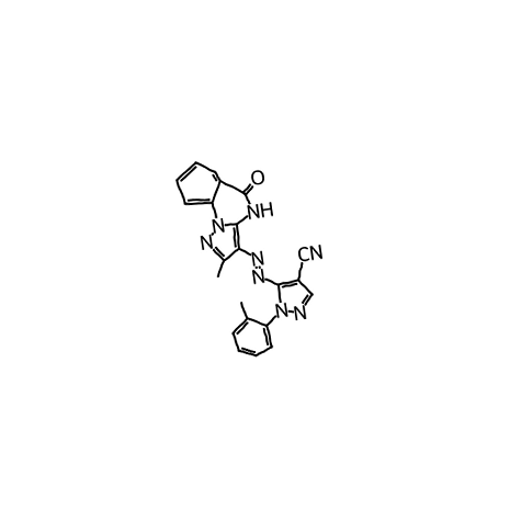 Cc1ccccc1-n1ncc(C#N)c1/N=N/c1c(C)nn2c1[nH]c(=O)c1ccccc12